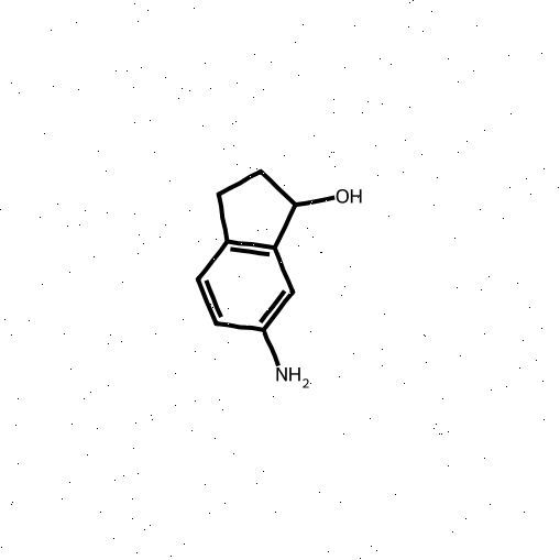 Nc1ccc2c(c1)C(O)CC2